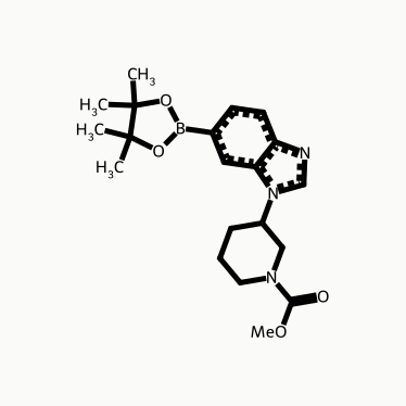 COC(=O)N1CCCC(n2cnc3ccc(B4OC(C)(C)C(C)(C)O4)cc32)C1